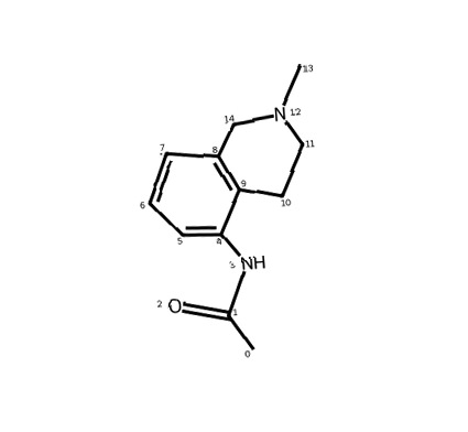 CC(=O)Nc1cc[c]c2c1CCN(C)C2